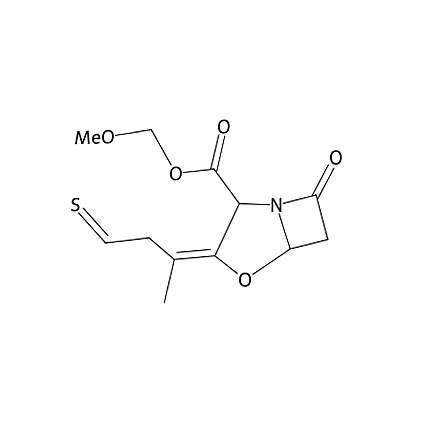 COCOC(=O)C1C(=C(C)CC=S)OC2CC(=O)N21